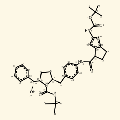 CC(C)(C)OC(=O)Nc1nc2c(s1)CCC2C(=O)Nc1ccc(C[C@@H]2CC[C@H]([C@H](O)c3ccccc3)N2C(=O)OC(C)(C)C)cc1